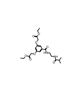 CCOC(=O)COc1cc(OCC(=O)OCC)cc(C(=O)NCCNC(=O)C(C)C)c1